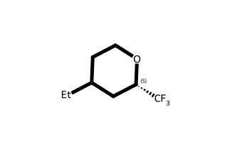 CCC1CCO[C@H](C(F)(F)F)C1